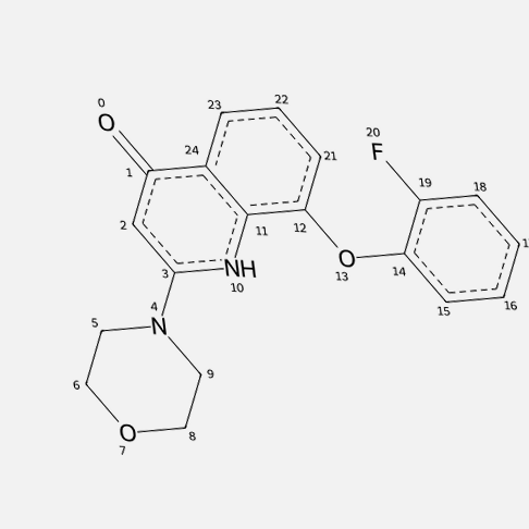 O=c1cc(N2CCOCC2)[nH]c2c(Oc3ccccc3F)cccc12